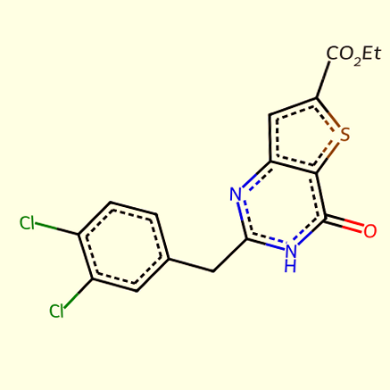 CCOC(=O)c1cc2nc(Cc3ccc(Cl)c(Cl)c3)[nH]c(=O)c2s1